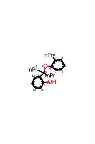 CCCc1ccccc1OC(CCC)(CCC)c1ccccc1O